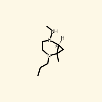 CCCN1CCN(NC)[C@H]2CC21C